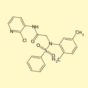 Cc1ccc(C)c(N(CC(=O)Nc2cccnc2Cl)S(=O)(=O)c2ccccc2)c1